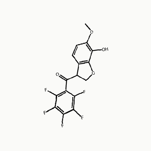 COc1ccc2c(c1O)OCC2C(=O)c1c(F)c(F)c(F)c(F)c1F